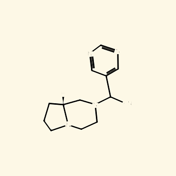 N#CC(c1cncnc1)N1CCN2CCC[C@@H]2C1